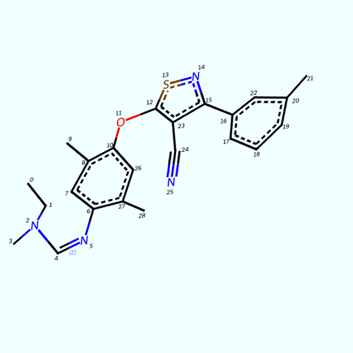 CCN(C)/C=N\c1cc(C)c(Oc2snc(-c3cccc(C)c3)c2C#N)cc1C